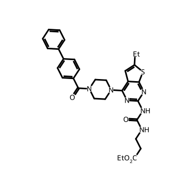 CCOC(=O)CCNC(=O)Nc1nc(N2CCN(C(=O)c3ccc(-c4ccccc4)cc3)CC2)c2cc(CC)sc2n1